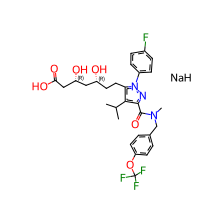 CC(C)c1c(C(=O)N(C)Cc2ccc(OC(F)(F)F)cc2)nn(-c2ccc(F)cc2)c1CC[C@@H](O)C[C@@H](O)CC(=O)O.[NaH]